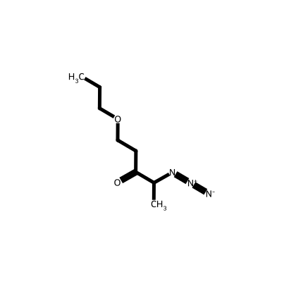 CCCOCCC(=O)C(C)N=[N+]=[N-]